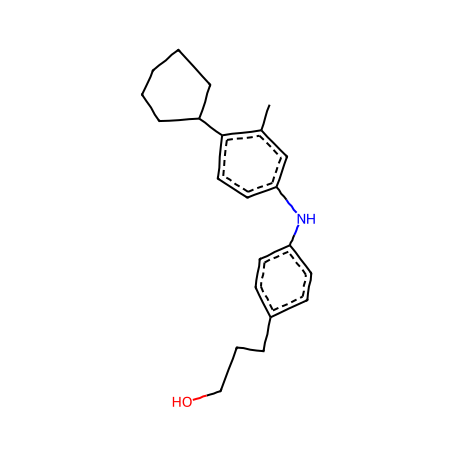 Cc1cc(Nc2ccc(CCCO)cc2)ccc1C1CCCCC1